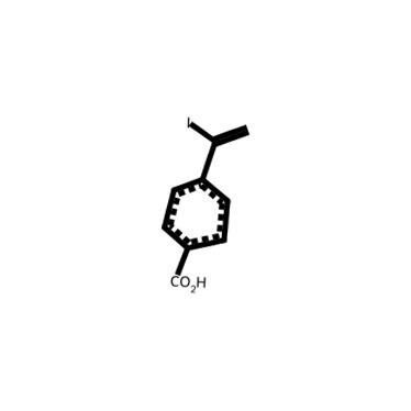 C=C(I)c1ccc(C(=O)O)cc1